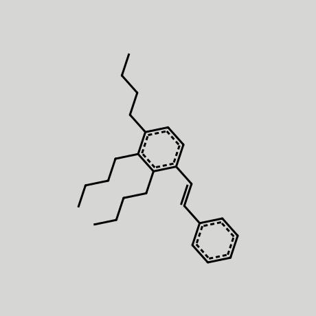 CCCCc1ccc(C=Cc2ccccc2)c(CCCC)c1CCCC